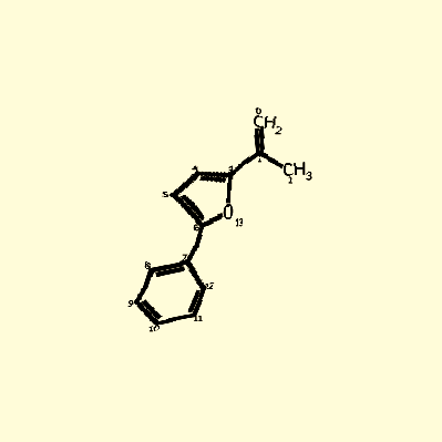 C=C(C)c1ccc(-c2ccccc2)o1